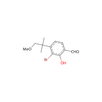 COCC(C)(C)c1ccc(C=O)c(O)c1Br